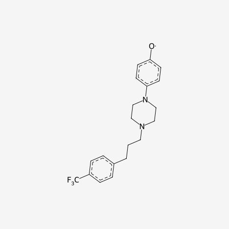 [O]c1ccc(N2CCN(CCCc3ccc(C(F)(F)F)cc3)CC2)cc1